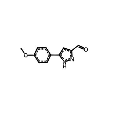 COc1ccc(-c2cc(C=O)n[nH]2)cc1